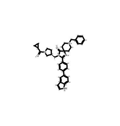 O=C(C1CC1)N1CC[C@@H](CN2C(=O)C3(CCN(Cc4ccccc4)CC3)N=C2c2ccc(-c3ccc4[nH]ccc4c3)cc2)C1